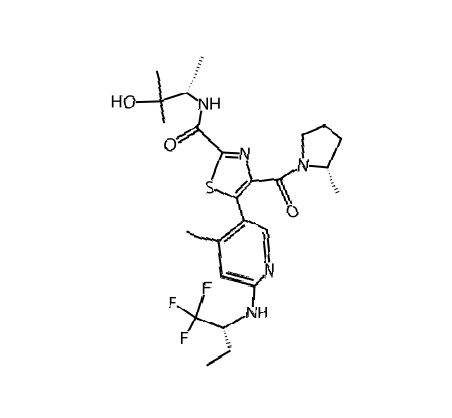 CC[C@@H](Nc1cc(C)c(-c2sc(C(=O)N[C@@H](C)C(C)(C)O)nc2C(=O)N2CCC[C@@H]2C)cn1)C(F)(F)F